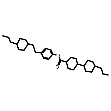 CCCC1CCC(CCc2ccc(OC(=O)C3CCC(C4CCC(CCC)CC4)CC3)cc2)CC1